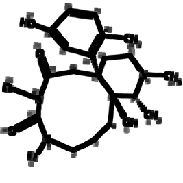 CCN1CCC[C@@]2(O)[C@@H](C)N(C)CC[C@]2(c2cc(O)ccc2C)CC(=O)N(CC)C1=O